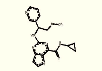 COCC(Nc1nc(C(=O)NC2CC2)c2sccc2n1)c1cccnc1